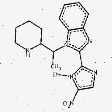 CCn1c([N+](=O)[O-])cnc1-c1nc2ccccc2n1C(C)C1CCCCN1